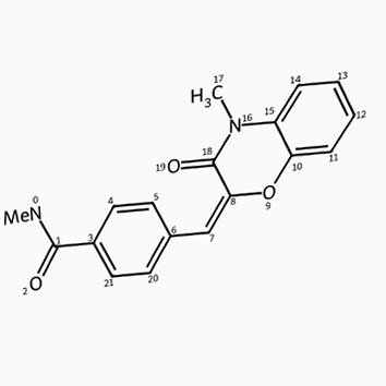 CNC(=O)c1ccc(/C=C2/Oc3ccccc3N(C)C2=O)cc1